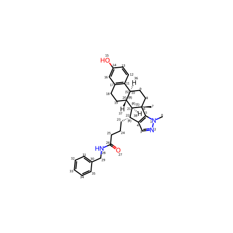 Cn1ncc2c1[C@@]1(C)CC[C@@H]3c4ccc(O)cc4CC[C@H]3[C@@H]1[C@H]2CCCC(=O)NCc1ccccc1